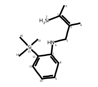 CC([SiH3])=C(C)CNc1ccccc1[Si](C)(C)C